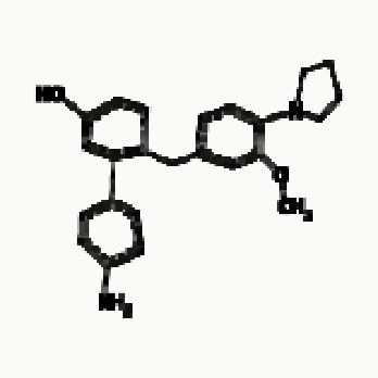 COc1cc(Cc2ccc(O)cc2-c2ccc(N)cc2)ccc1N1CCCC1